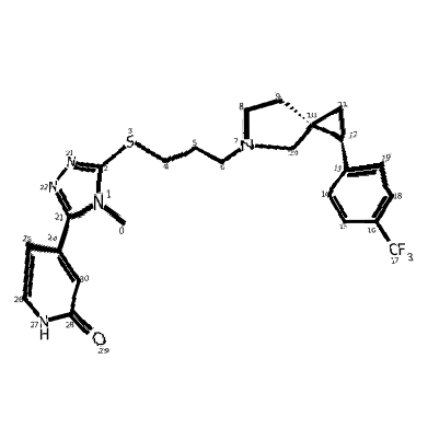 Cn1c(SCCCN2CC[C@@]3(C[C@H]3c3ccc(C(F)(F)F)cc3)C2)nnc1-c1cc[nH]c(=O)c1